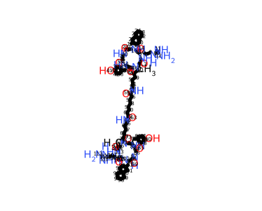 C[C@@H]1C(=O)N[C@@H](CCCNC(=N)N)C(=O)N[C@@H](Cc2ccc3ccccc3c2)C(=O)NCC(=O)N[C@H](Cc2ccc(O)cc2)C(=O)N1CCCCCCNC(=O)CCCCCCC(=O)NCCCCCCN1C(=O)[C@@H](Cc2ccc(O)cc2)NC(=O)CNC(=O)[C@H](Cc2ccc3ccccc3c2)NC(=O)[C@H](CCCNC(=N)N)NC(=O)[C@H]1C